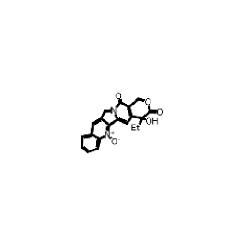 CCC1(O)C(=O)OCc2c1cc1n(c2=O)Cc2cc3ccccc3[n+]([O-])c2-1